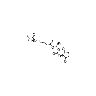 C=C(C)C(=O)NCCCCC(=O)OC(OC(=O)ON1C(=O)CCC1=O)C(C)C